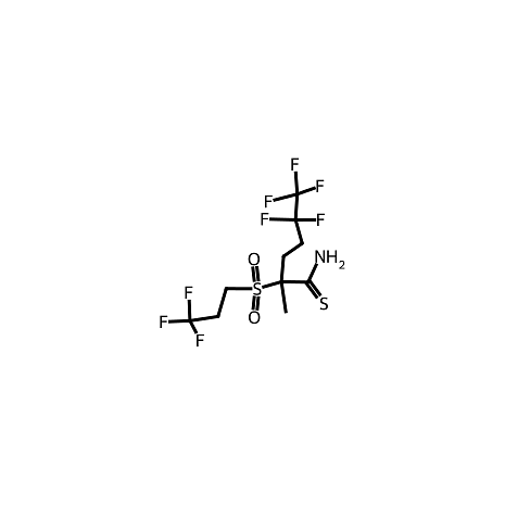 CC(CCC(F)(F)C(F)(F)F)(C(N)=S)S(=O)(=O)CCC(F)(F)F